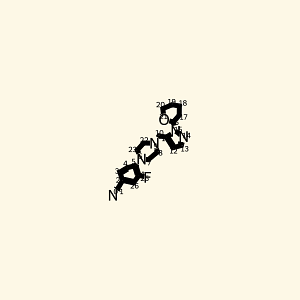 N#Cc1ccc(N2CCN(Cc3ccnn3C3CCCCO3)CC2)c(F)c1